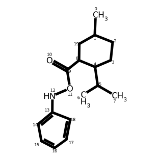 CC1CCC(C(C)C)C(C(=O)ONc2ccccc2)C1